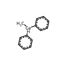 [CH3][GeH]([c]1ccccc1)[c]1ccccc1